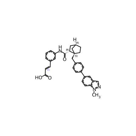 Cn1ncc2cc(-c3ccc(C[C@@]45CC[C@H](C[C@H]4C(=O)Nc4cccc(/C=C/C(=O)O)c4)C5)cc3)ccc21